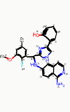 CCOc1cc(CC)cc(C(Nc2ccc3c(N)nccc3c2)c2nc(-c3ccccc3O)c[nH]2)c1F